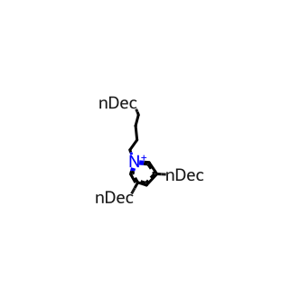 CCCCCCCCCCCCCC[n+]1cc(CCCCCCCCCC)cc(CCCCCCCCCC)c1